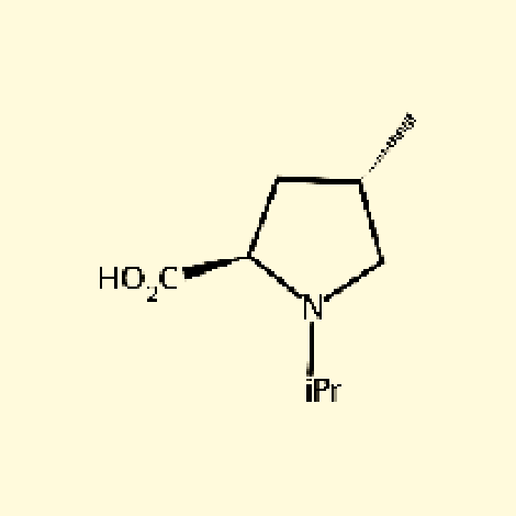 CC(C)N1C[C@@H](C)C[C@@H]1C(=O)O